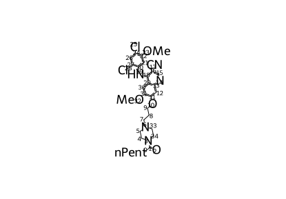 CCCCCC(=O)N1CCN(CCCOc2cc3ncc(C#N)c(Nc4cc(OC)c(Cl)cc4Cl)c3cc2OC)CC1